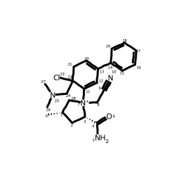 C[C@H]1C[C@@H](C(N)=O)[N+](CC#N)(C2=CC(c3ccccc3)=CCC2(Cl)CN(C)C)C1